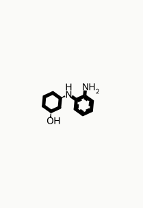 Nc1ccccc1N[C@H]1CCC[C@@H](O)C1